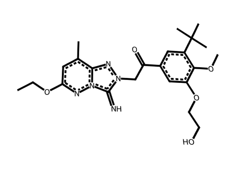 CCOc1cc(C)c2nn(CC(=O)c3cc(OCCO)c(OC)c(C(C)(C)C)c3)c(=N)n2n1